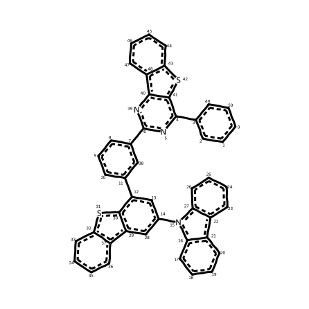 c1ccc(-c2nc(-c3cccc(-c4cc(-n5c6ccccc6c6ccccc65)cc5c4sc4ccccc45)c3)nc3c2sc2ccccc23)cc1